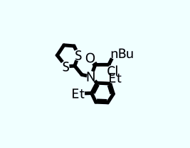 CCCCC(Cl)C(=O)N(CC1SCCCS1)c1c(CC)cccc1CC